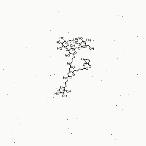 C[C@@H]1O[C@@H](OCCNC(=O)CN(CC(=O)NCCO[C@H]2O[C@H](CO[C@H]3O[C@H](CO)[C@@H](O)[C@H](O)[C@@H]3O)[C@@H](O)[C@H](O[C@H]3O[C@H](CCO)[C@@H](O)[C@H](O)[C@@H]3O)[C@@H]2O)C(=O)CCCCC(=O)ON2C(=O)CCC2=O)[C@@H](O)[C@H](O)[C@@H]1O